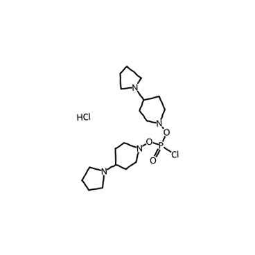 Cl.O=P(Cl)(ON1CCC(N2CCCC2)CC1)ON1CCC(N2CCCC2)CC1